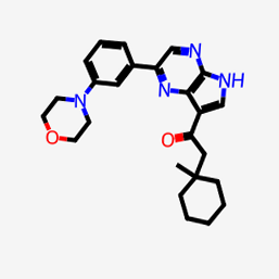 CC1(CC(=O)c2c[nH]c3ncc(-c4cccc(N5CCOCC5)c4)nc23)CCCCC1